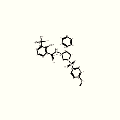 COc1ccc(S(=O)(=O)N2C[C@@H](NC(=O)c3cccc(C(F)(F)F)c3Cl)[C@H](c3ccccc3)C2)cn1